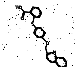 O=C(O)c1ccccc1Sc1ccc(OCc2ccc3ccccc3n2)cc1